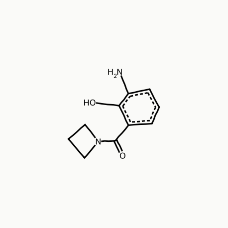 Nc1cccc(C(=O)N2CCC2)c1O